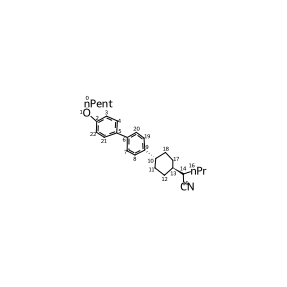 CCCCCOc1ccc(-c2ccc([C@H]3CC[C@H](C(C#N)CCC)CC3)cc2)cc1